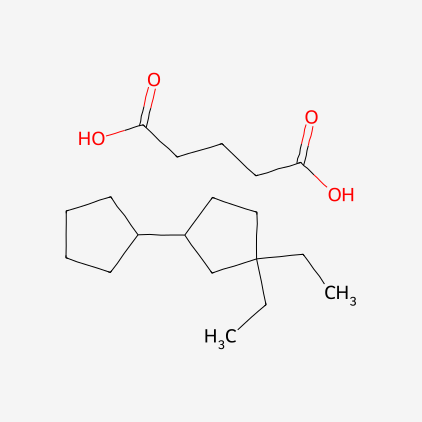 CCC1(CC)CCC(C2CCCC2)C1.O=C(O)CCCC(=O)O